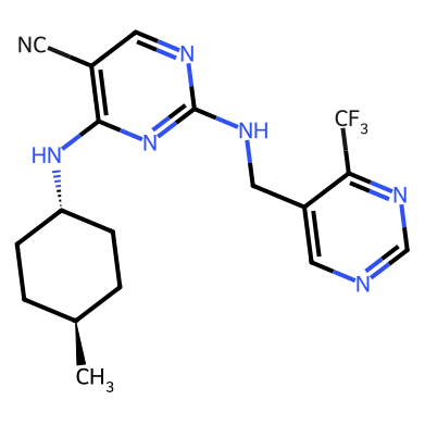 C[C@H]1CC[C@H](Nc2nc(NCc3cncnc3C(F)(F)F)ncc2C#N)CC1